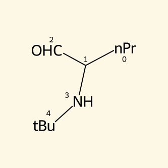 CCCC(C=O)NC(C)(C)C